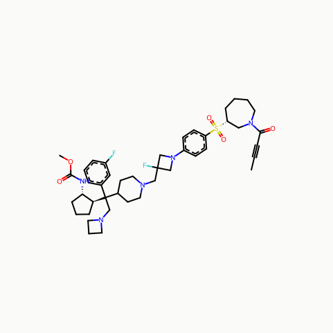 CC#CC(=O)N1CCCC[C@@H](S(=O)(=O)c2ccc(N3CC(F)(CN4CCC(C(CN5CCC5)(c5cccc(F)c5)[C@H]5CCC[C@@H]5NC(=O)OC)CC4)C3)cc2)C1